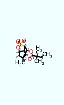 CCC(C)(C)C(=O)OC1C2C3CC1(C)CC3OS2(=O)=O